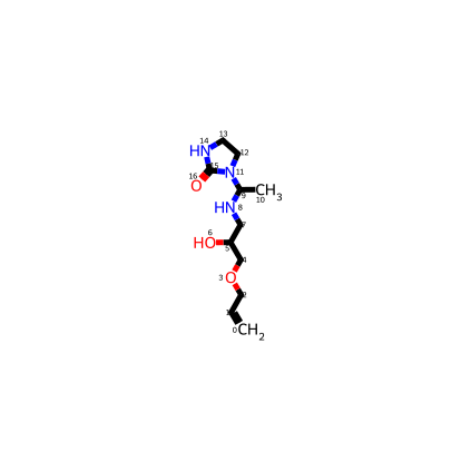 C=CCOCC(O)CNC(C)N1CCNC1=O